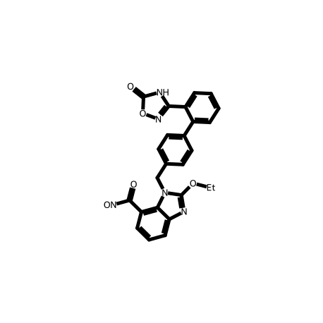 CCOc1nc2cccc(C(=O)N=O)c2n1Cc1ccc(-c2ccccc2-c2noc(=O)[nH]2)cc1